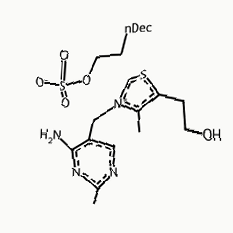 CCCCCCCCCCCCOS(=O)(=O)[O-].Cc1ncc(C[n+]2csc(CCO)c2C)c(N)n1